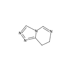 C1=NCCC2=[N+]=[N+]=CN12